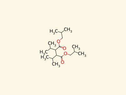 CC(C)COC(=O)C(C(C)C)C(C(=O)OCC(C)C)C(C)C